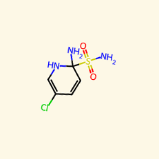 NC1(S(N)(=O)=O)C=CC(Cl)=CN1